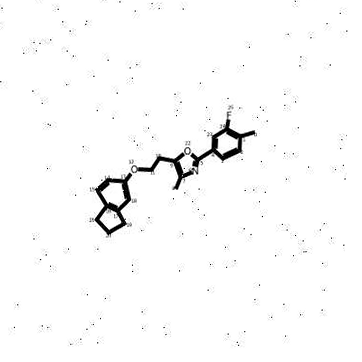 Cc1ccc(-c2nc(C)c(CCOc3ccc4c(c3)CCC4)o2)cc1F